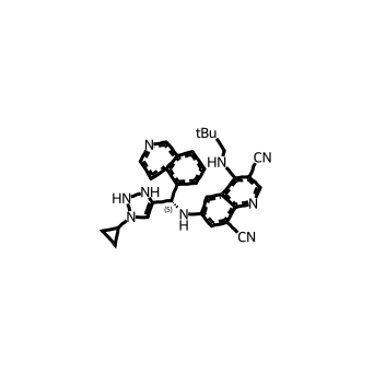 CC(C)(C)CNc1c(C#N)cnc2c(C#N)cc(N[C@H](C3=CN(C4CC4)NN3)c3cccc4cnccc34)cc12